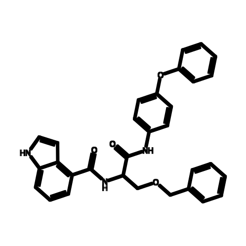 O=C(NC(COCc1ccccc1)C(=O)Nc1ccc(Oc2ccccc2)cc1)c1cccc2[nH]ccc12